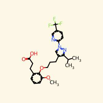 COc1cccc(CCC(=O)O)c1OCCCc1cn(-c2ccc(C(F)(F)F)cn2)nc1C(C)C